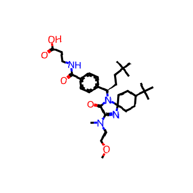 COCCN(C)C1=NC2(CCC(C(C)(C)C)CC2)N([C@H](CCC(C)(C)C)c2ccc(C(=O)NCCC(=O)O)cc2)C1=O